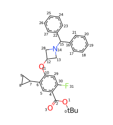 CC(C)(C)OC(=O)c1cc(C2CC2)c(OC2CN(C(c3ccccc3)c3ccccc3)C2)cc1F